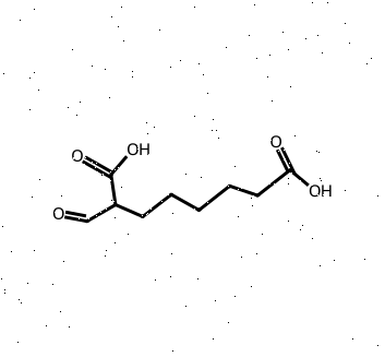 O=CC(CCCCCC(=O)O)C(=O)O